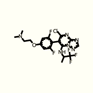 CC(Nc1c(-c2c(F)cc(OCCN(C)C)cc2F)c(Cl)nc2ncnn12)C(F)(F)F